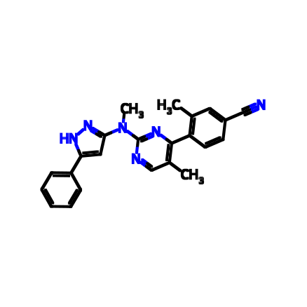 Cc1cc(C#N)ccc1-c1nc(N(C)c2cc(-c3ccccc3)[nH]n2)ncc1C